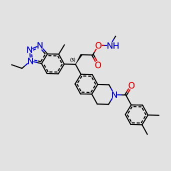 CCn1nnc2c(C)c([C@@H](CC(=O)ONC)c3ccc4c(c3)CN(C(=O)c3ccc(C)c(C)c3)CC4)ccc21